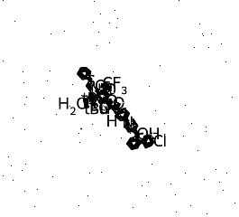 [CH2]C(N(CC)CC[C@H](CSc1ccccc1)Nc1ccc(S(=O)(=O)NC(=O)c2ccc(N3CCC([C@@H](O)c4ccccc4-c4ccc(Cl)cc4)CC3)cc2)cc1S(=O)(=O)C(F)(F)F)(C(C)(C)C)C(C)(C)C